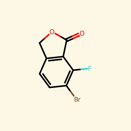 O=C1OCc2ccc(Br)c(F)c21